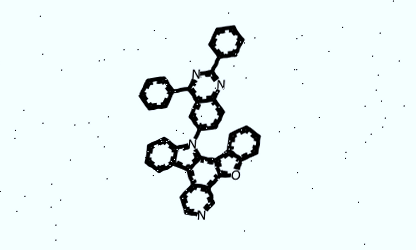 c1ccc(-c2nc(-c3ccccc3)c3cc(-n4c5ccccc5c5c6ccncc6c6oc7ccccc7c6c54)ccc3n2)cc1